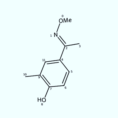 CON=C(C)c1ccc(O)c(C)c1